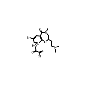 CN(C)CCC1CN(C)C(=S)c2cc(Br)cnc2O1.O=C(O)C(=O)O